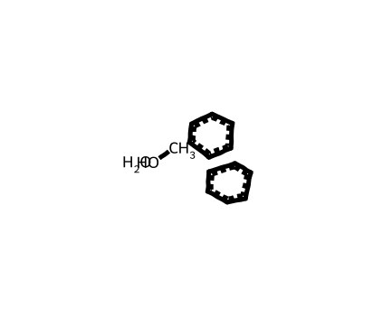 CO.O.c1ccccc1.c1ccccc1